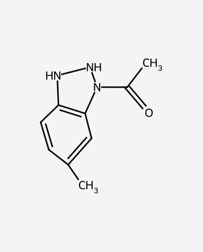 CC(=O)N1NNc2ccc(C)cc21